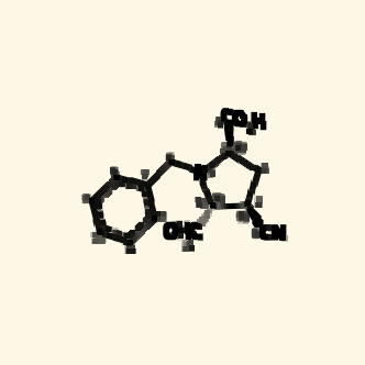 N#C[C@@H]1C[C@H](C(=O)O)N(Cc2ccccc2)[C@H]1C=O